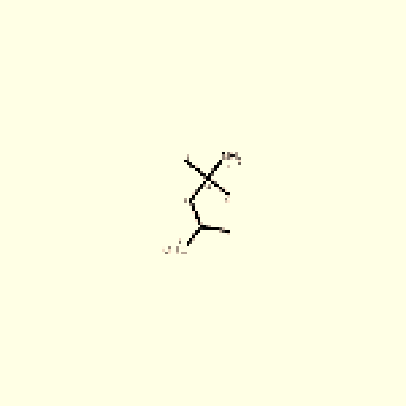 CC(C=O)CC(C)(C)N